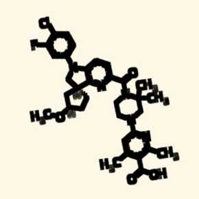 CO[C@@H]1CC[C@]2(C1)CN(c1ccc(Cl)c(F)c1)c1ccc(C(=O)N3CCN(c4cc(C)c(C(=O)O)c(C)n4)CC3(C)C)nc12